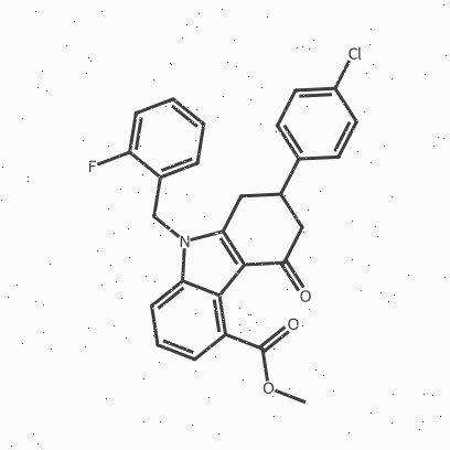 COC(=O)c1cccc2c1c1c(n2Cc2ccccc2F)CC(c2ccc(Cl)cc2)CC1=O